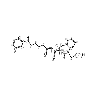 Cc1ccnc(NCCCCC(=O)NC(=O)NNC(CC(=O)O)c2ccccc2[N+](=O)[O-])c1